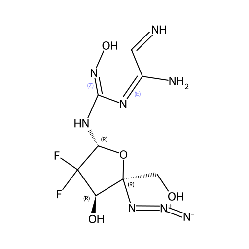 [N-]=[N+]=N[C@]1(CO)O[C@@H](NC(=N/O)/N=C(/N)C=N)C(F)(F)[C@@H]1O